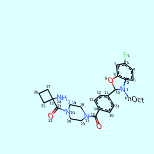 CCCCCCCCN1c2ccc(F)cc2OC1c1ccc(C(=O)N2CCN(C(=O)C3(N)CCC3)CC2)cc1